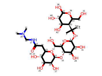 CCC(C)(O[C@@H]1OC(CO)[C@@H](O[C@@H]2OC(CC(=O)NCN(C)C)[C@@H](O)C(O)[C@@H]2O)C(O)[C@@H]1O)[C@@H]1C(CO)OC(O)[C@@H](O)C1O